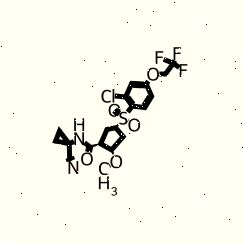 CO[C@H]1C[C@@H](S(=O)(=O)c2ccc(OCC(F)(F)F)cc2Cl)C[C@@H]1C(=O)NC1(C#N)CC1